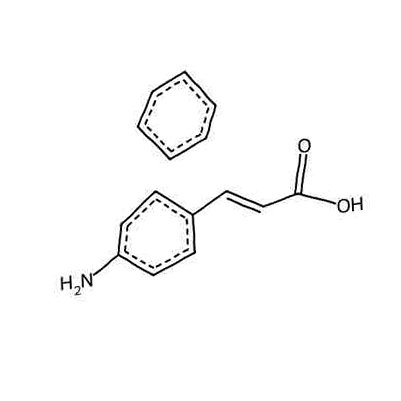 Nc1ccc(C=CC(=O)O)cc1.c1ccccc1